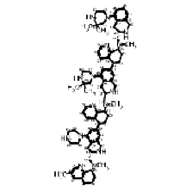 Cc1cnc2c(c1)CCC[C@@H]2N(C)C[C@@H]1Cc2c(cc(C3CC[C@H](N(C)C[C@H]4Cc5c(cc(C6CC[C@H](N(C)C[C@@H]7Cc8c(cccc8N8CCNC(C)(C)C8)CN7)c7ncccc76)cc5N5CCNC(C)(C)C5)CN4)c4ncccc43)cc2N2CCNCC2)CN1